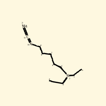 CCN(CC)CCCCCN=C=N